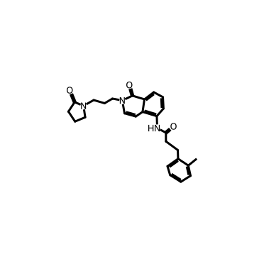 Cc1ccccc1CCC(=O)Nc1cccc2c(=O)n(CCCN3CCCC3=O)ccc12